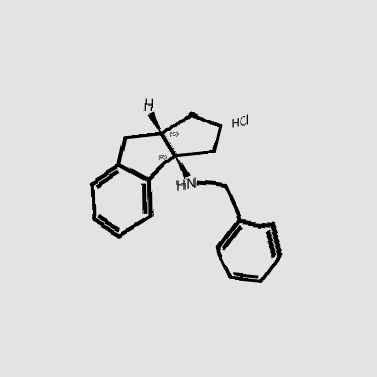 Cl.c1ccc(CN[C@]23CCC[C@H]2Cc2ccccc23)cc1